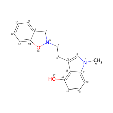 Cn1cc(CCN2Cc3ccccc3O2)c2c(O)cccc21